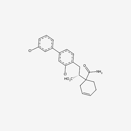 NC(=O)C1([C@@H](Cc2ccc(-c3cccc(Cl)c3)cc2Cl)C(=O)O)CC=CCC1